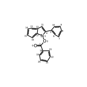 O=C(On1c(-c2ccccc2)cc2ccccc21)c1ccccc1